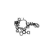 CO[C@@]1(/C=C/CCN2CCOCC2)/C=C/C[C@H](C)[C@@H](C)C(=O)NS(=O)(=O)c2ccc3c(c2)N(C[C@@H]2CC[C@H]21)C[C@@]1(CCCc2cc(Cl)ccc21)CO3